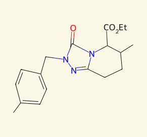 CCOC(=O)C1C(C)CCc2nn(Cc3ccc(C)cc3)c(=O)n21